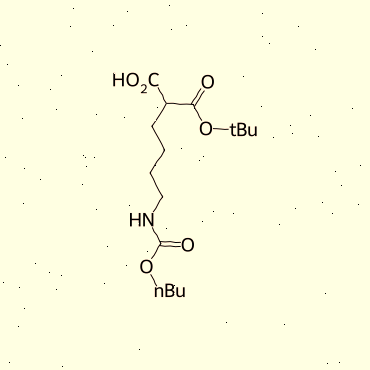 CCCCOC(=O)NCCCCC(C(=O)O)C(=O)OC(C)(C)C